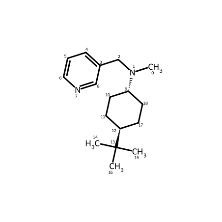 CN(Cc1cccnc1)[C@H]1CC[C@H](C(C)(C)C)CC1